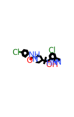 CC(C)(C1CCN(C(=O)Nc2ccc(Cl)cc2)CC1)[C@@H](O)c1cc(Cl)cc2cn[nH]c12